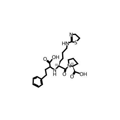 O=C(O)C(CCc1ccccc1)N[C@@H](CCCCNC1=NCCS1)C(=O)N1CCC[C@H]1C(=O)O